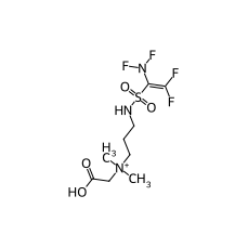 C[N+](C)(CCCNS(=O)(=O)C(=C(F)F)N(F)F)CC(=O)O